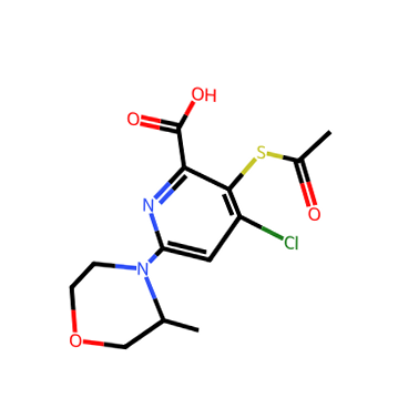 CC(=O)Sc1c(Cl)cc(N2CCOCC2C)nc1C(=O)O